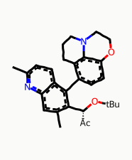 CC(=O)[C@@H](OC(C)(C)C)c1c(C)cc2nc(C)ccc2c1-c1ccc2c3c1CCCN3CCO2